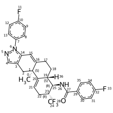 C[C@]12Cc3cnn(-c4ccc(F)cc4)c3C=C1CC[C@H]1C2=CC[C@@H](C(F)(F)F)[C@@H]1NC(=O)c1ccc(F)cc1